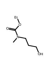 CCOC(=O)N(C)CCCO